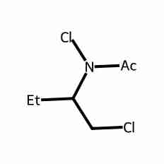 CCC(CCl)N(Cl)C(C)=O